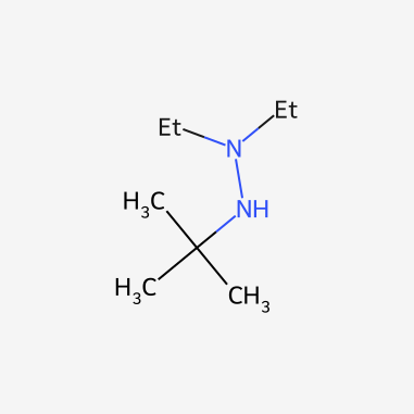 CCN(CC)NC(C)(C)C